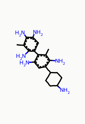 Cc1c(N)c(N)cc(-c2c(N)cc(C3CCC(N)CC3)c(N)c2C)c1N